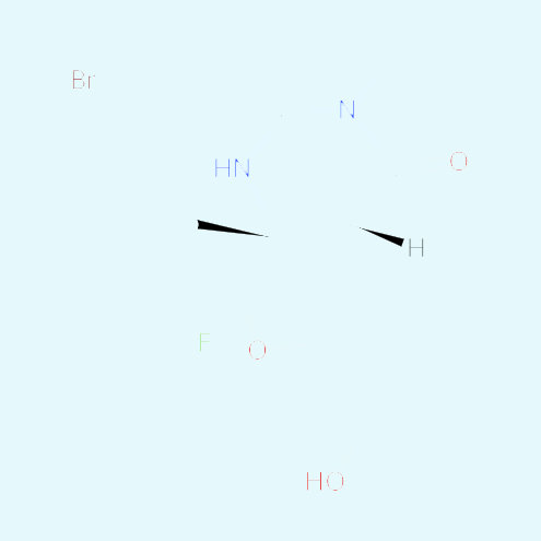 C=C1N[C@@]2(c3cc(Br)ccc3F)CO[C@@H](CO)C[C@H]2C(=O)N1C